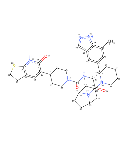 Cc1cc(C[C@@H](NC(=O)N2CCC(c3cc4c([nH]c3=O)SCC4)CC2)C(=O)N2C3CCC2CC(N2CCCCC2)C3)cc2cn[nH]c12